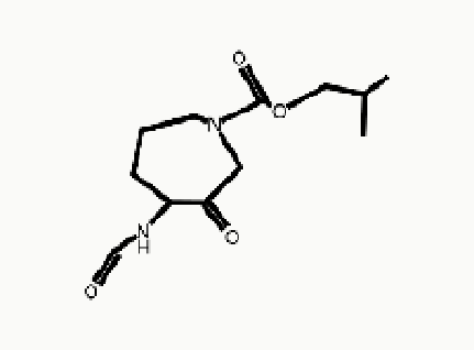 CC(C)COC(=O)N1CCCC(NC=O)C(=O)C1